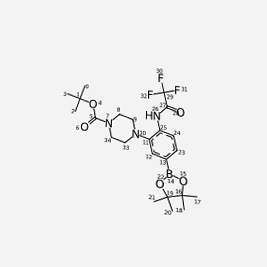 CC(C)(C)OC(=O)N1CCN(c2cc(B3OC(C)(C)C(C)(C)O3)ccc2NC(=O)C(F)(F)F)CC1